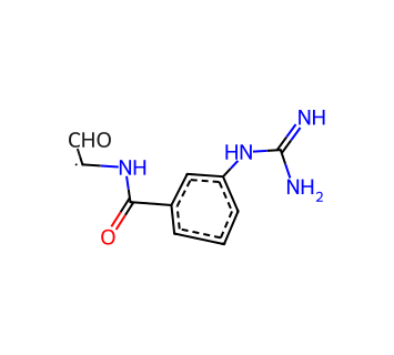 N=C(N)Nc1cccc(C(=O)N[CH]C=O)c1